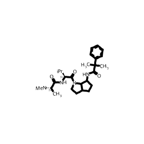 CN[C@@H](C)C(=O)N[C@H](C(=O)N1CCC2CCC(NC(=O)C(C)(C)c3ccccc3)C21)C(C)C